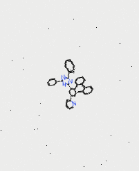 c1ccc(-c2nc(-c3ccccc3)nc(-c3cc(-c4ccccn4)cc4c5ccccc5c5ccccc5c34)n2)cc1